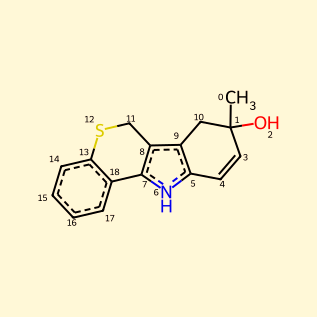 CC1(O)C=Cc2[nH]c3c(c2C1)CSc1ccccc1-3